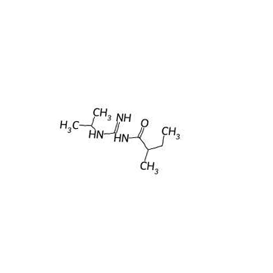 CCC(C)C(=O)NC(=N)NC(C)C